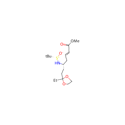 CCC1(CC[C@@H](C/C=C/C(=O)OC)N[S@@+]([O-])C(C)(C)C)OCCO1